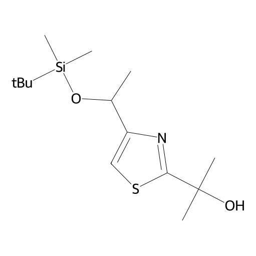 CC(O[Si](C)(C)C(C)(C)C)c1csc(C(C)(C)O)n1